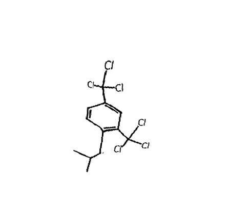 CC(C)[CH]c1ccc(C(Cl)(Cl)Cl)cc1C(Cl)(Cl)Cl